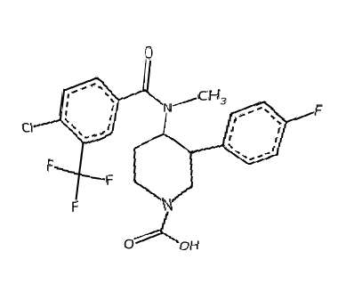 CN(C(=O)c1ccc(Cl)c(C(F)(F)F)c1)C1CCN(C(=O)O)CC1c1ccc(F)cc1